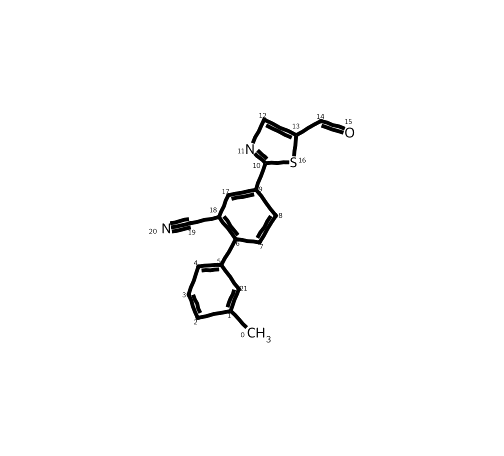 Cc1cccc(-c2ccc(-c3ncc(C=O)s3)cc2C#N)c1